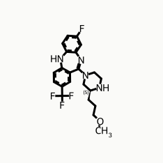 COCCC[C@H]1CN(C2=Nc3cc(F)ccc3Nc3ccc(C(F)(F)F)cc32)CCN1